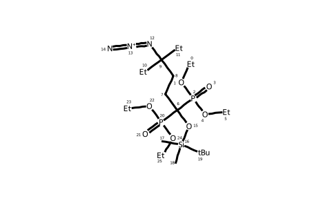 CCOP(=O)(OCC)C(CCC(CC)(CC)N=[N+]=[N-])(O[Si](C)(C)C(C)(C)C)P(=O)(OCC)OCC